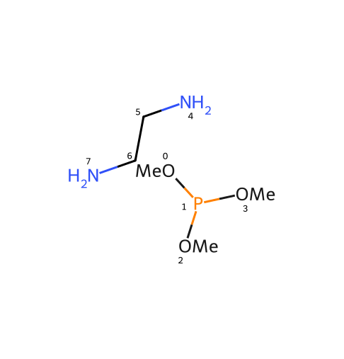 COP(OC)OC.NCCN